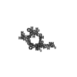 CC(=O)N[C@@H](CCCNC(=N)N)C(=O)N[C@H]1CCCNC(=O)CC[C@@H](C(N)=O)NC(=O)[C@H](Cc2c[nH]c3ccccc23)NC(=O)C(CCCNC(=N)N)NC(=O)[C@@H](Cc2ccccc2)NC(=O)[C@H](CC(N)=O)NC1=O